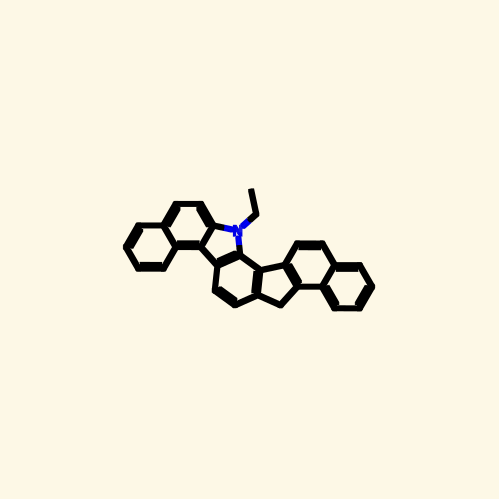 CCn1c2ccc3ccccc3c2c2ccc3c(c21)-c1ccc2ccccc2c1C3